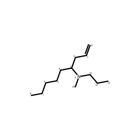 C=CCC(CCCCC)N(C)CCC